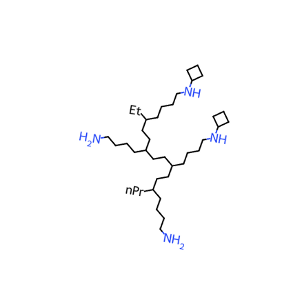 CCCC(CCCCN)CCC(CCCCNC1CCC1)CCC(CCCCN)CCC(CC)CCCCNC1CCC1